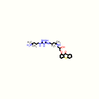 CC(C)(N)CCCNC(=N)NC(=N)NCCCC(C)(C)NCC(O)COc1cccc2sc3ccccc3c(=O)c12